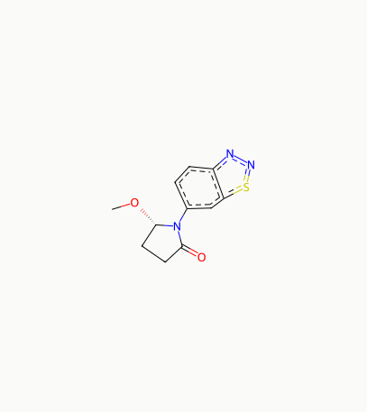 CO[C@H]1CCC(=O)N1c1ccc2nnsc2c1